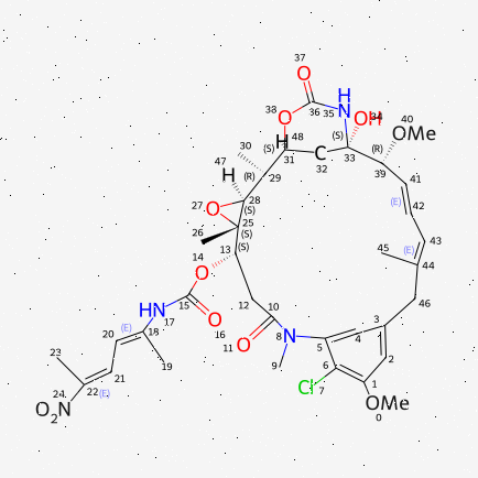 COc1cc2cc(c1Cl)N(C)C(=O)C[C@H](OC(=O)N/C(C)=C/C=C(\C)[N+](=O)[O-])[C@]1(C)O[C@H]1[C@H](C)[C@@H]1C[C@@](O)(NC(=O)O1)[C@H](OC)/C=C/C=C(\C)C2